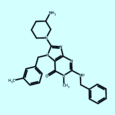 Cc1cccc(Cn2c(N3CCCC(N)C3)nc3nc(NCc4ccccc4)n(C)c(=O)c32)c1